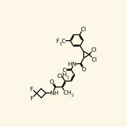 C=C(/C=C\C(Cl)=C(/C)C(=O)NC1CC(F)(F)C1)NC(=O)C1C(c2cc(Cl)cc(C(F)(F)F)c2)C1(Cl)Cl